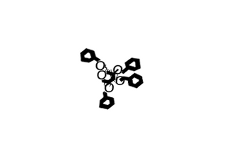 c1ccc(COC[C@H]2OC[C@H](OCc3ccccc3)[C@@H](OCc3ccccc3)[C@@H]2OCc2ccccc2)cc1